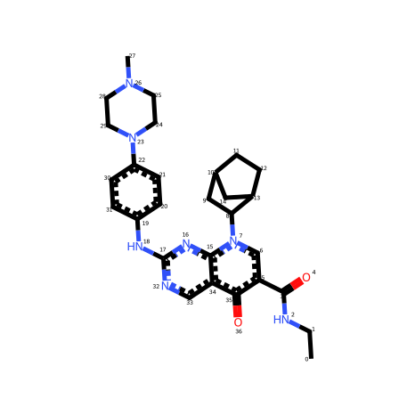 CCNC(=O)c1cn(C2CC3CCC2C3)c2nc(Nc3ccc(N4CCN(C)CC4)cc3)ncc2c1=O